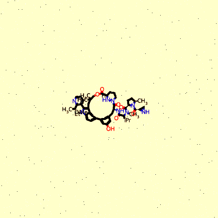 CCn1c(-c2cccnc2[C@H](C)OC)c2c3cc(ccc31)-c1cc(O)cc(c1)C[C@H](NC(=O)C(C(C)C)N(C)C(=O)[C@H]1CC[C@@H](C)N1C(=O)[C@@H]1CN1)C(=O)N1CCC[C@H](N1)C(=O)OCC(C)(C)C2